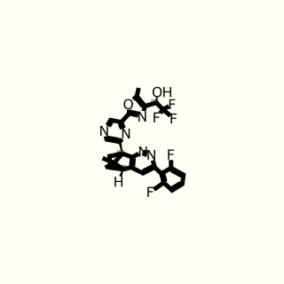 Cc1oc(-c2cncc([C@@]34CC[C@@H](c5cc(-c6c(F)cccc6F)nnc53)C4(C)C)n2)nc1[C@H](O)C(F)(F)F